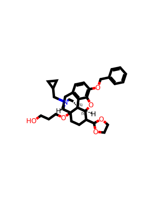 OCCCOC12CCC(C3OCCO3)[C@@H]3Oc4c(OCc5ccccc5)ccc5c4[C@@]31CCN(CC1CC1)[C@@H]2C5